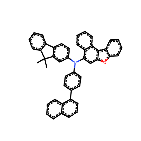 CC1(C)c2ccccc2-c2ccc(N(c3ccc(-c4cccc5ccccc45)cc3)c3cc4oc5ccccc5c4c4ccccc34)cc21